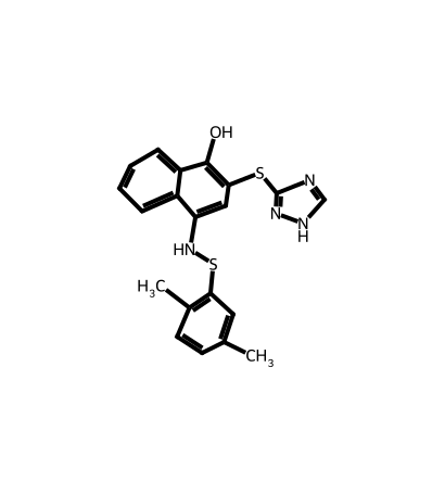 Cc1ccc(C)c(SNc2cc(Sc3nc[nH]n3)c(O)c3ccccc23)c1